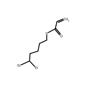 C=CC(=O)OCCCCC(CC)CC